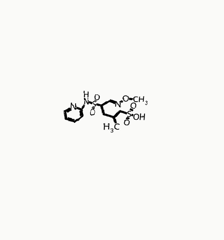 CON=CC(CC(C)CS(=O)(=O)O)S(=O)(=O)Nc1ccccn1